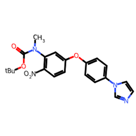 CN(C(=O)OC(C)(C)C)c1cc(Oc2ccc(-n3ccnc3)cc2)ccc1[N+](=O)[O-]